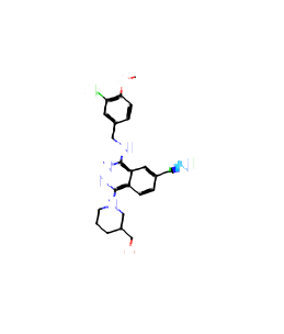 COc1ccc(CNc2nnc(N3CCCC(CO)C3)c3ccc(C#N)cc23)cc1Cl.Cl